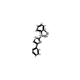 c1ccc(-c2csc(-n3nnc4ccccc43)n2)cc1